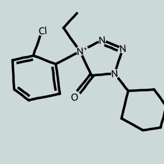 CC[N+]1(c2ccccc2Cl)N=NN(C2CCCCC2)C1=O